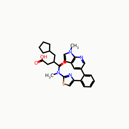 CN(C(=O)C(CC(=O)O)CC1CCCC1)c1nc(-c2ccccc2-c2cnc3c(ccn3C)c2)cs1